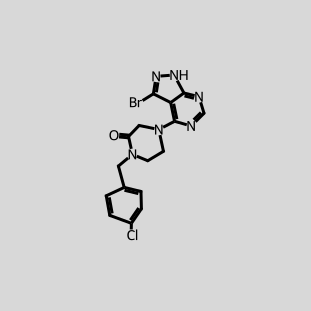 O=C1CN(c2ncnc3[nH]nc(Br)c23)CCN1Cc1ccc(Cl)cc1